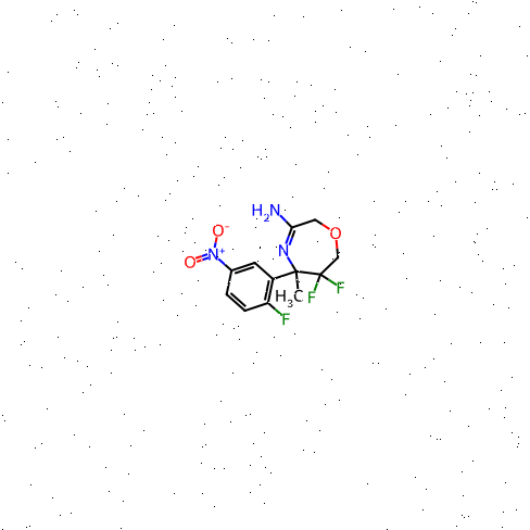 CC1(c2cc([N+](=O)[O-])ccc2F)N=C(N)COCC1(F)F